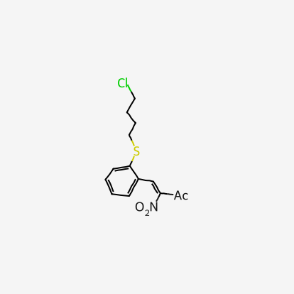 CC(=O)C(=Cc1ccccc1SCCCCCl)[N+](=O)[O-]